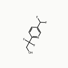 OCC(F)(F)c1ccc(C(F)F)cn1